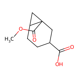 COC(=O)C12CC(C(=O)O)CCC1C2